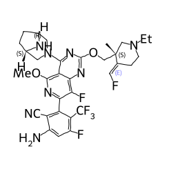 CCN1CC/C(=C\F)[C@](C)(COc2nc(N3C[C@H]4CC[C@@H](C3)N4)c3c(OC)nc(-c4c(C#N)c(N)cc(F)c4C(F)(F)F)c(F)c3n2)C1